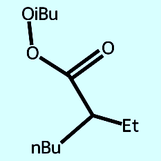 CCCCC(CC)C(=O)OOCC(C)C